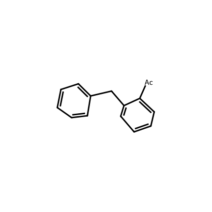 CC(=O)c1ccccc1Cc1ccccc1